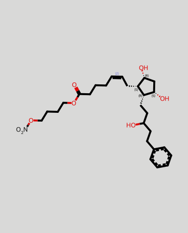 O=C(CCC/C=C\C[C@H]1[C@@H](CCC(O)CCc2ccccc2)[C@@H](O)C[C@H]1O)OCCCCO[N+](=O)[O-]